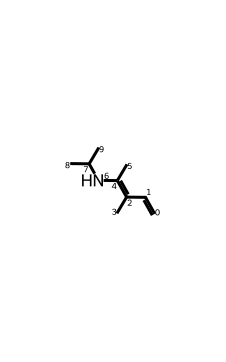 C=C/C(C)=C(\C)NC(C)C